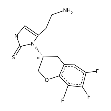 NCCC1=C[N]C(=S)N1[C@H]1COc2c(cc(F)c(F)c2F)C1